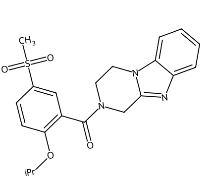 CC(C)Oc1ccc(S(C)(=O)=O)cc1C(=O)N1CCn2c(nc3ccccc32)C1